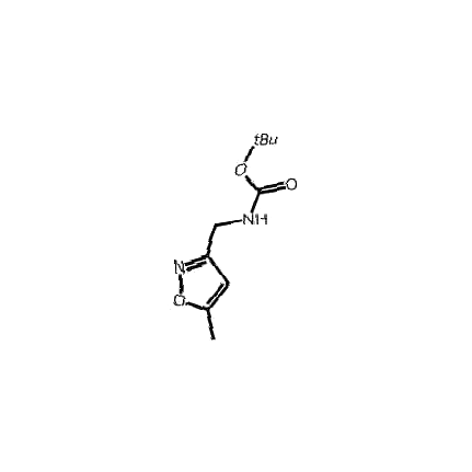 Cc1cc(CNC(=O)OC(C)(C)C)no1